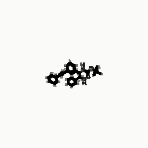 CC(C)(C)OC(=O)N[C@@H](c1cccc(C#Cc2ccccc2)c1)C(O)c1ccccc1